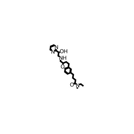 CCN(C)C(=O)CCCc1ccc2c(c1)CCC(CNCC(O)c1ncccn1)O2